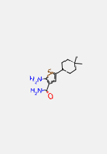 CC1(C)CCC(c2cc(C(N)=O)c(N)s2)CC1